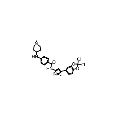 CN1CCC(Nc2ccc(C(=O)Nc3cc(-c4ccc5c(c4)OC(Cl)(Cl)O5)n[nH]3)cc2)CC1